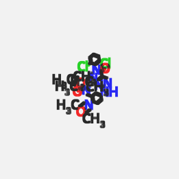 C[C@@H]1CN(c2ccc(Nc3ncc4c(n3)N(C)CN(c3c(Cl)cccc3Cl)C4=O)cc2CN(C)C(=O)OC(C)(C)C)C[C@H](C)O1